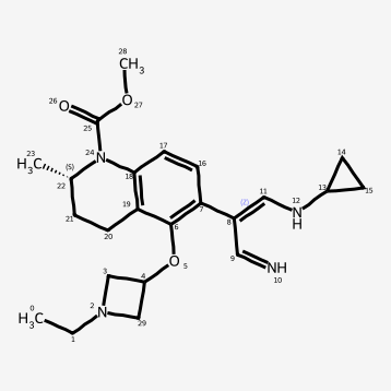 CCN1CC(Oc2c(/C(C=N)=C/NC3CC3)ccc3c2CC[C@H](C)N3C(=O)OC)C1